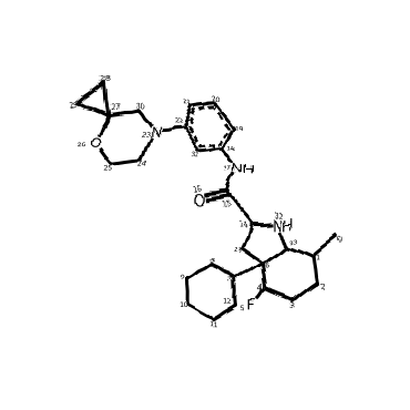 CC1CCC(F)C2(C3CCCCC3)CC(C(=O)Nc3cccc(N4CCOC5(CC5)C4)c3)NC12